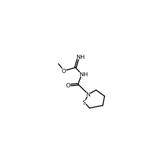 COC(=N)NC(=O)N1CCCCS1